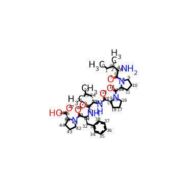 CC[C@H](C)[C@H](N)C(=O)N1CCC[C@H]1C(=O)N1CCC[C@H]1C(=O)N[C@@H](CC(C)C)C(=O)N[C@@H](Cc1ccccc1)C(=O)N1CCC[C@H]1C(=O)O